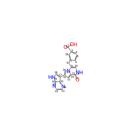 O=C(O)c1cccc(Cc2c[nH]c(=O)c3cc(-c4c[nH]c5nccnc45)cn23)c1